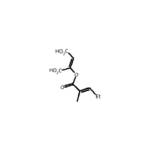 CCC=C(C)C(=O)O/C(=C/C(=O)O)C(=O)O